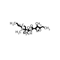 CCCCN(C)C(C)(CC)C(C)(C)NC(=O)c1noc(CC)c1C